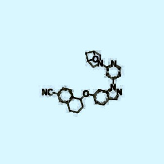 N#Cc1ccc2c(c1)CCCC2Oc1ccc2cnn(-c3ccnc(N4CC5CC(C4)O5)c3)c2c1